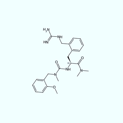 COc1ccccc1CN(C)C(=O)N[C@@H](Cc1ccccc1CNC(=N)N)C(=O)N(C)C